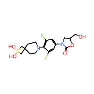 O=C1OC(CO)CN1c1cc(F)c(N2CCC3(CC2)CS(O)(O)C3)c(F)c1